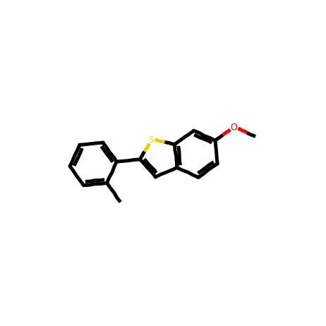 COc1ccc2cc(-c3ccccc3C)sc2c1